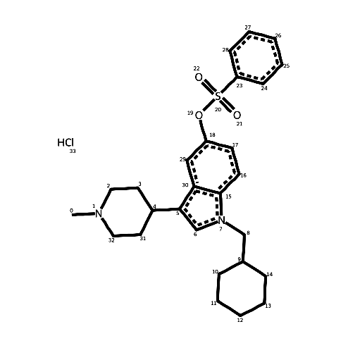 CN1CCC(c2cn(CC3CCCCC3)c3ccc(OS(=O)(=O)c4ccccc4)cc23)CC1.Cl